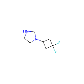 FC1(F)CC(N2CCNC2)C1